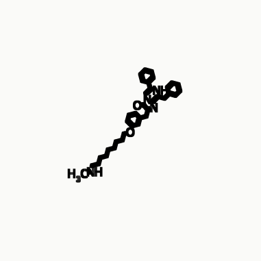 CNCCCCCCCCCOc1cccc(Cc2nc3c(Cc4ccccc4)[nH]c(-c4ccccc4)cn-3c2=O)c1